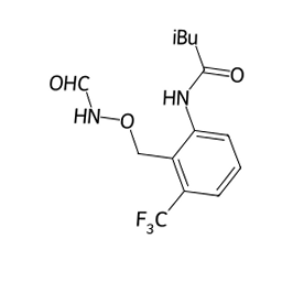 CCC(C)C(=O)Nc1cccc(C(F)(F)F)c1CONC=O